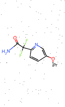 CC(C)Oc1ccc(C(F)(F)C(N)=O)nc1